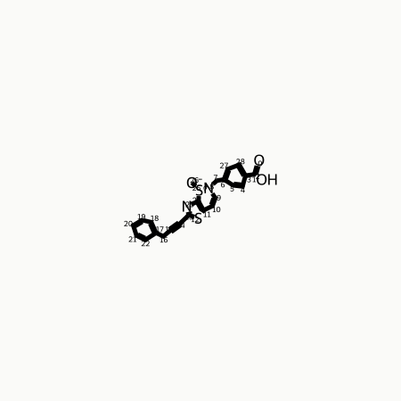 O=C(O)c1ccc(CN2C=Cc3sc(C#CCc4ccccc4)nc3[S+]2[O-])cc1